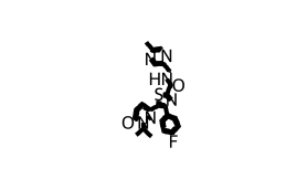 Cc1cnc(CNC(=O)c2nc(-c3ccc(F)cc3)c(-c3ccc(=O)n(C(C)C)n3)s2)cn1